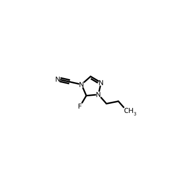 CCCN1N=CN(C#N)C1F